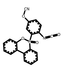 N#COc1ccc(N=C=O)c(P2(=O)Oc3ccccc3-c3ccccc32)c1